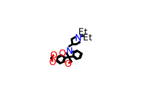 CCC(CC)N1CCC(CN2C(=O)C3(COc4cc5c(cc43)OCO5)c3ccccc32)CC1